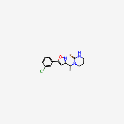 CC(c1cc(-c2cccc(Cl)c2)on1)N1CCCNC1=S